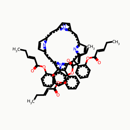 CCC=CC(=O)Oc1ccccc1-c1c(-c2ccccc2OC(=O)C=CCC)c2c(-c3ccccc3OC(=O)C=CCC)c3nc(cc4ccc(cc5nc(cc1n2-c1ccccc1OC(=O)C=CCC)C=C5)[nH]4)C=C3